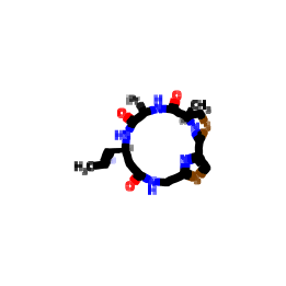 C/C=C/[C@@H]1CC(=O)NCc2nc(cs2)C2=N[C@@](C)(CS2)C(=O)NC(C(C)C)C(=O)N1